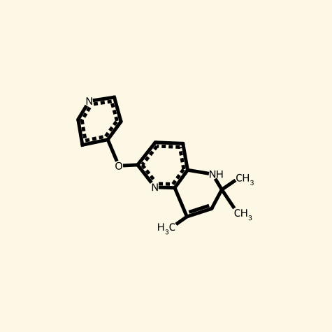 CC1=CC(C)(C)Nc2ccc(Oc3ccncc3)nc21